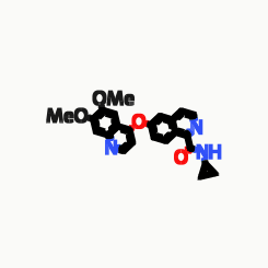 COc1cc2nccc(Oc3ccc4c(C(=O)NC5CC5)nccc4c3)c2cc1OC